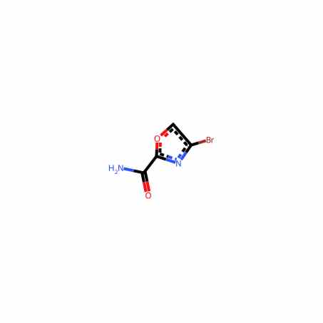 NC(=O)c1nc(Br)co1